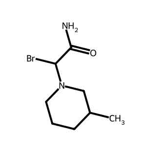 CC1CCCN(C(Br)C(N)=O)C1